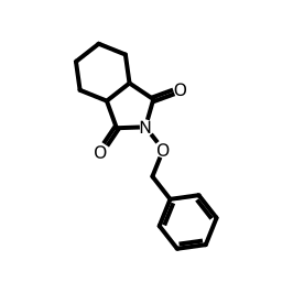 O=C1C2CCCCC2C(=O)N1OCc1ccccc1